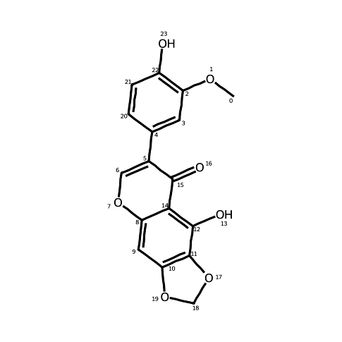 COc1cc(-c2coc3cc4c(c(O)c3c2=O)OCO4)ccc1O